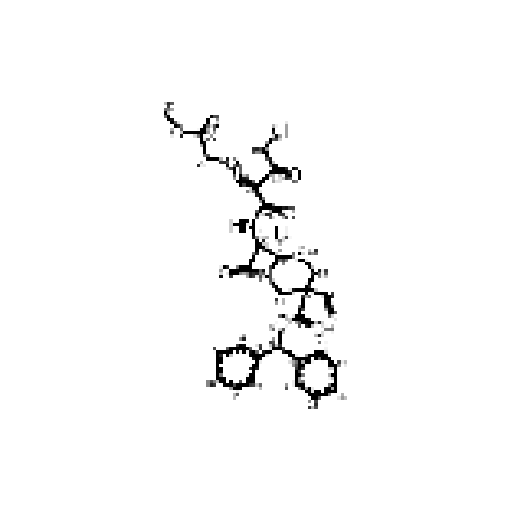 C=CC1(C(=O)OC(c2ccccc2)c2ccccc2)CS[C@@H]2C(NC(=O)C(=NOCC(=O)OC)C(=O)CCl)C(=O)N2C1